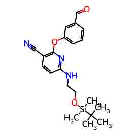 CC(C)(C)[Si](C)(C)OCCNc1ccc(C#N)c(Oc2cccc(C=O)c2)n1